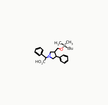 CC(C)(C)[Si](C)(C)OCC1CN(C(C(=O)O)c2ccccc2)CC1c1ccccc1